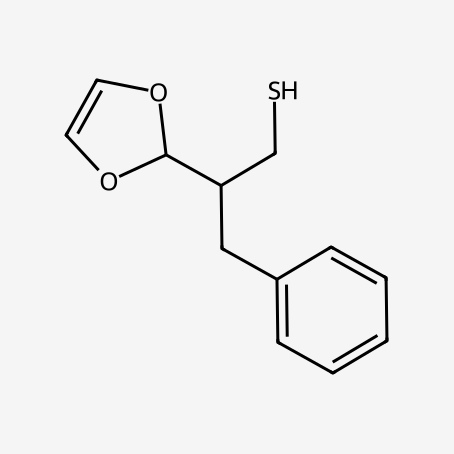 SCC(Cc1ccccc1)C1OC=CO1